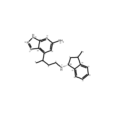 CC1C[C@@H](NCCC(C)c2cc(N)nc3[nH]nnc23)c2ccccc21